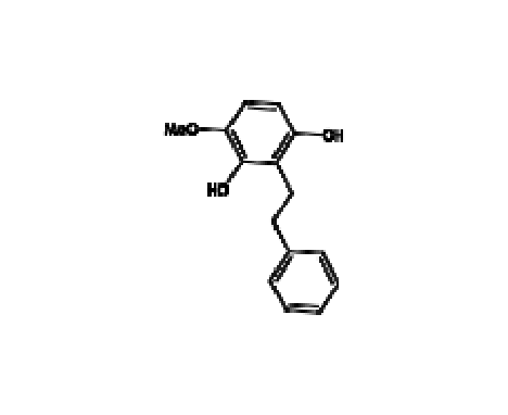 COc1ccc(O)c(CCc2ccccc2)c1O